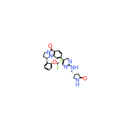 O=C1C[C@@H](CNc2ncc(-c3ccc4c(=O)n5n(c4c3)[C@@H](c3ccccc3OC(F)F)CC5)cn2)CN1